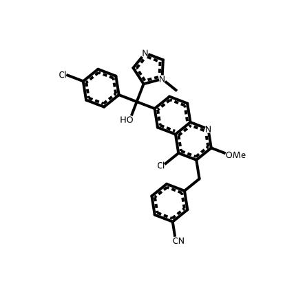 COc1nc2ccc(C(O)(c3ccc(Cl)cc3)c3cncn3C)cc2c(Cl)c1Cc1cccc(C#N)c1